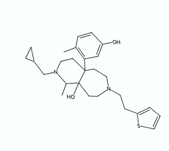 Cc1ccc(O)cc1C12CCN(CCc3cccs3)CCC1(O)C(C)N(CC1CC1)CC2